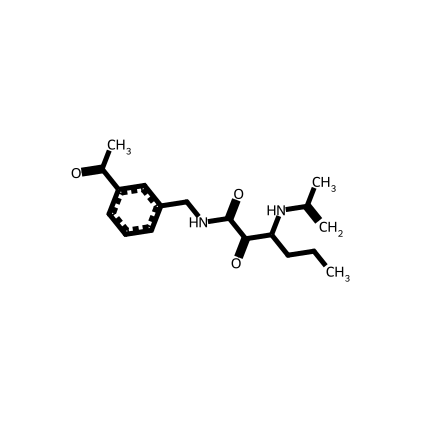 C=C(C)NC(CCC)C(=O)C(=O)NCc1cccc(C(C)=O)c1